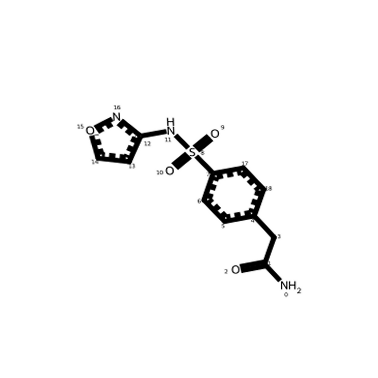 NC(=O)Cc1ccc(S(=O)(=O)Nc2ccon2)cc1